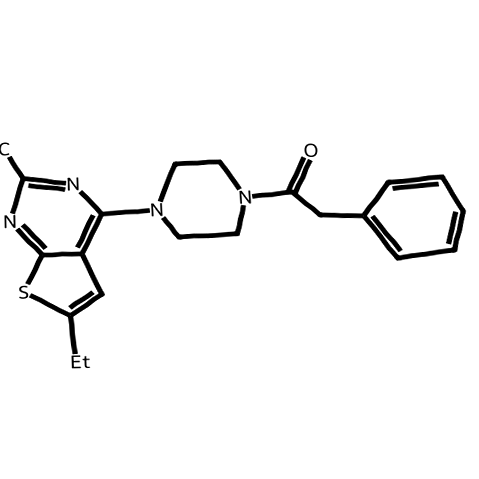 CCc1cc2c(N3CCN(C(=O)Cc4ccccc4)CC3)nc(C#N)nc2s1